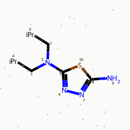 CC(C)CN(CC(C)C)c1nnc(N)s1